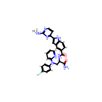 CNc1nccc(-c2cc3cc(C(=O)NC(CN(c4ccc(F)cc4)c4ccccn4)C(N)=O)ccc3[nH]2)n1